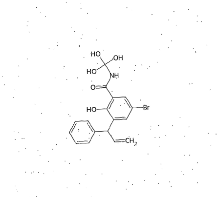 C=CC(c1ccccc1)c1cc(Br)cc(C(=O)NC(O)(O)O)c1O